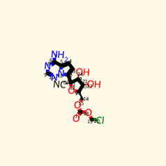 N#C[C@@]1(c2ccc3c(N)ncnn23)O[C@H](COC(=O)OCCl)[C@@H](O)[C@H]1O